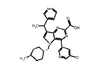 CC(c1cccnc1)c1cn(C[C@H]2CC[C@H](C)CC2)c2c(-c3cncc(Cl)c3)nc(C(=O)O)nc12